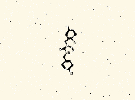 CCN(Cc1cc(C)ccc1Br)C(=O)NCc1ccc(Cl)cc1